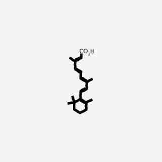 CC(C=CC1=C(C)CCCC1(C)C)=C/C=C/C(C)=CC(=O)O